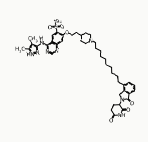 Cc1[nH]nc(Nc2ncnc3cc(OCCC4CCN(CCCCCCCCCCc5cccc6c5CN(C5CCC(=O)NC5=O)C6=O)CC4)c(S(=O)(=O)C(C)(C)C)cc23)c1C